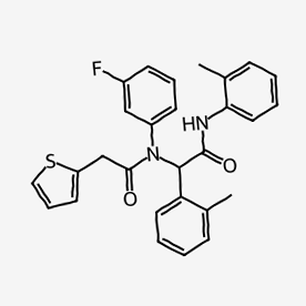 Cc1ccccc1NC(=O)C(c1ccccc1C)N(C(=O)Cc1cccs1)c1cccc(F)c1